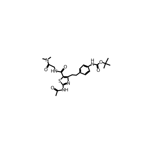 CC(=O)Nc1nc(CCc2ccc(NC(=O)OC(C)(C)C)cc2)c(C(=O)NCC(=O)N(C)C)s1